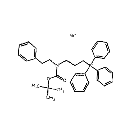 CC(C)(C)OC(=O)N(CCC[P+](c1ccccc1)(c1ccccc1)c1ccccc1)CCc1ccccc1.[Br-]